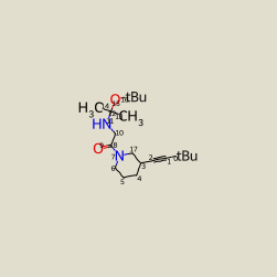 CC(C)(C)C#CC1CCCN(C(=O)CNC(C)(C)OC(C)(C)C)C1